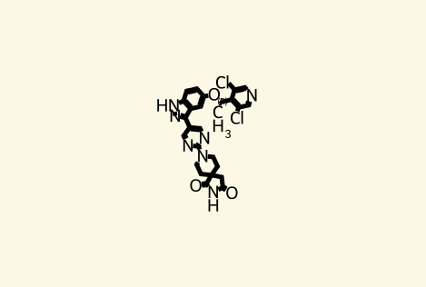 C[C@@H](Oc1ccc2[nH]nc(-c3cnc(N4CCC5(CC4)CC(=O)NC5=O)nc3)c2c1)c1c(Cl)cncc1Cl